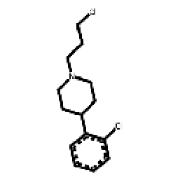 ClCCCN1CCC(c2ccccc2Cl)CC1